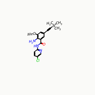 COc1cc(C#C[Si](C)(C)C)cc(C(=O)Nc2ccc(Cl)cn2)c1N